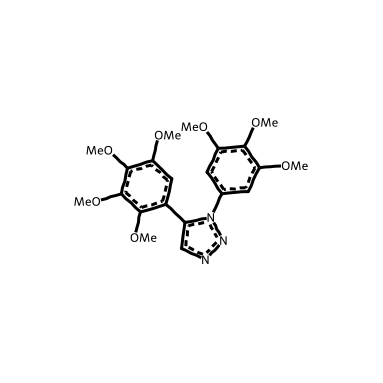 COc1cc(-n2nncc2-c2cc(OC)c(OC)c(OC)c2OC)cc(OC)c1OC